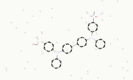 CO[Si](C)(CO)c1ccc(N(c2ccccc2)c2ccc(-c3ccc(N(c4ccccc4)c4ccc([Si](C)(OC)OC)cc4)cc3)cc2)cc1